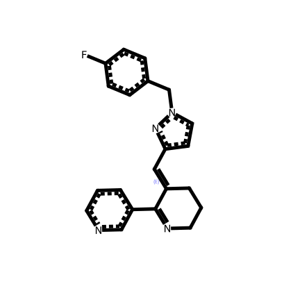 Fc1ccc(Cn2ccc(/C=C3\CCCN=C3c3cccnc3)n2)cc1